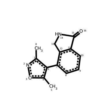 Cc1noc(C)c1-c1cccc2c1CNC2=O